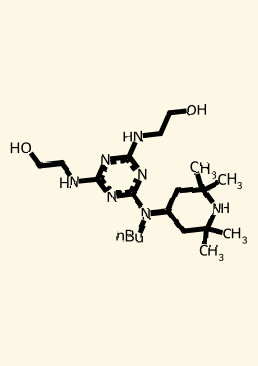 CCCCN(c1nc(NCCO)nc(NCCO)n1)C1CC(C)(C)NC(C)(C)C1